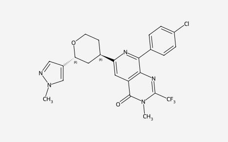 Cn1cc([C@H]2C[C@H](c3cc4c(=O)n(C)c(C(F)(F)F)nc4c(-c4ccc(Cl)cc4)n3)CCO2)cn1